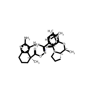 C[C@H](Oc1nccc(/C(N)=N/OC(=O)[C@@]2(C)CCCc3sc(N)c(N)c32)n1)[C@@H]1CCCN1C(=O)OC(C)(C)C